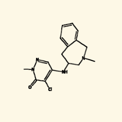 CN1Cc2ccccc2CC(Nc2cnn(C)c(=O)c2Cl)C1